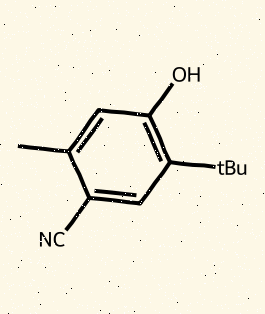 Cc1cc(O)c(C(C)(C)C)cc1C#N